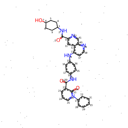 O=C(NC1CCC(O)CC1)c1cc2c(Nc3ccc(NC(=O)c4cccn(-c5ccccc5)c4=O)cc3)ccnc2cn1